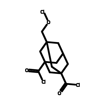 O=C(Cl)C12CC3CC(COCl)(C1)CC(C(=O)Cl)(C3)C2